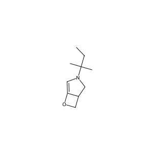 CCC(C)(C)N1C=C2OCC2C1